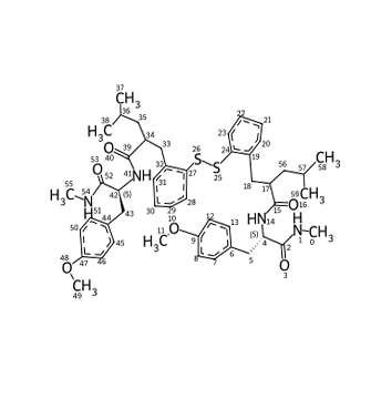 CNC(=O)[C@H](Cc1ccc(OC)cc1)NC(=O)C(Cc1ccccc1SSc1ccccc1CC(CC(C)C)C(=O)N[C@@H](Cc1ccc(OC)cc1)C(=O)NC)CC(C)C